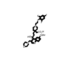 COc1ccc2ncc(CN3CCOCC3)c([C@@H](O)CCC3(CC(=O)O)CCN(CCSc4c(F)cc(F)cc4F)CC3)c2c1